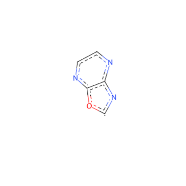 [c]1nc2nccnc2o1